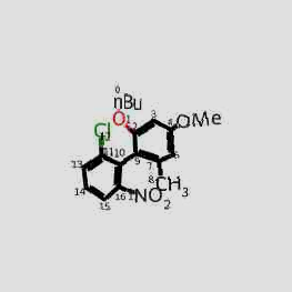 CCCCOc1cc(OC)cc(C)c1-c1c(Cl)cccc1[N+](=O)[O-]